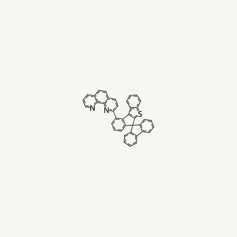 c1ccc2c(c1)-c1ccccc1C21c2cccc(-c3ccc4ccc5cccnc5c4n3)c2-c2c1sc1ccccc21